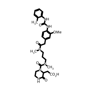 COc1cc(CC(=O)N(C)CCCN(C)C(=O)N2CCNC(=O)C2CC(=O)O)ccc1NC(=O)Nc1ccccc1C